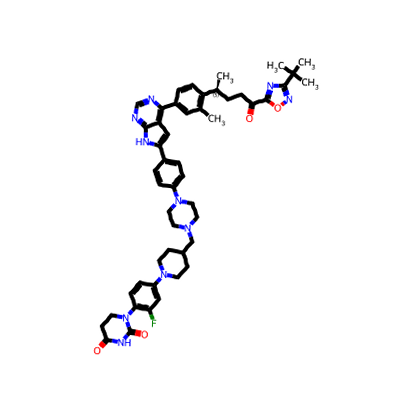 Cc1cc(-c2ncnc3[nH]c(-c4ccc(N5CCN(CC6CCN(c7ccc(N8CCC(=O)NC8=O)c(F)c7)CC6)CC5)cc4)cc23)ccc1[C@@H](C)CCC(=O)c1nc(C(C)(C)C)no1